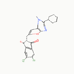 Cn1c(C2CCCCC2)nc2oc(C=C3C(=O)c4cc(Cl)c(Cl)cc4C3=O)cc21